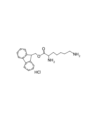 Cl.NCCCCCC(N)C(=O)OCC1c2ccccc2-c2ccccc21